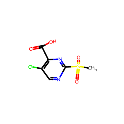 CS(=O)(=O)c1ncc(Cl)c(C(=O)O)n1